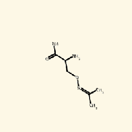 CC(C)=NOCC(N)C([NH])=O